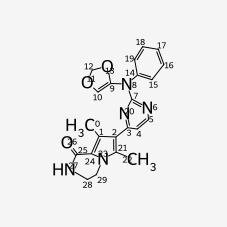 Cc1c(-c2ccnc(N(C3=COCO3)c3ccccc3)n2)c(C)n2c1C(=O)NCC2